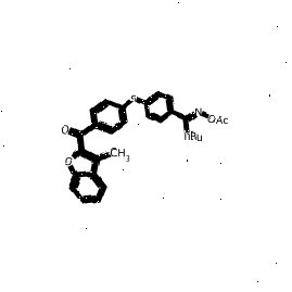 CCCCC(=NOC(C)=O)c1ccc(Sc2ccc(C(=O)c3oc4ccccc4c3C)cc2)cc1